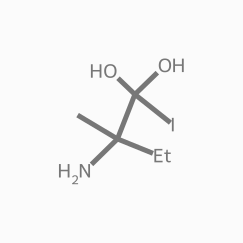 CCC(C)(N)C(O)(O)I